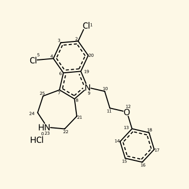 Cl.Clc1cc(Cl)c2c3c(n(CCOc4ccccc4)c2c1)CCNCC3